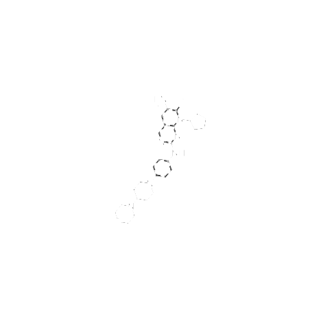 Nc1cc2cnc(Nc3ccc(N4CCC(N5CCOCC5)CC4)cc3)nc2n(C2CCCC2)c1=O